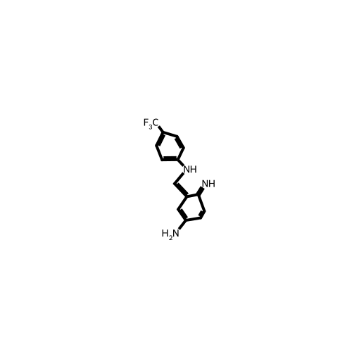 N=C1C=CC(N)=C/C1=C/Nc1ccc(C(F)(F)F)cc1